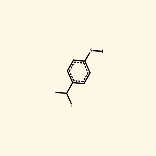 CC(I)c1ccc(SI)cc1